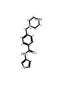 O=C(Nc1ccsc1)c1ccc(CN2CCNCC2)cc1